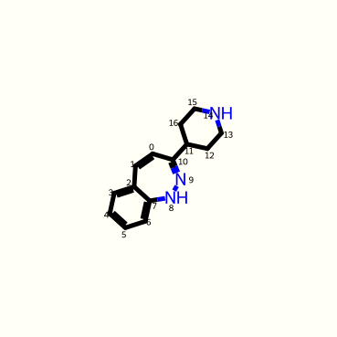 C1=Cc2ccccc2NN=C1C1CCNCC1